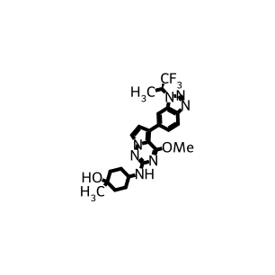 COc1nc(NC2CCC(C)(O)CC2)nn2ccc(-c3ccc4nnn([C@@H](C)C(F)(F)F)c4c3)c12